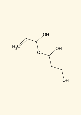 C=CC(O)OC(O)CCO